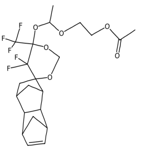 CC(=O)OCCOC(C)OC1(C(F)(F)F)OCOC2(CC3CC2C2C4C=CC(C4)C32)C1(F)F